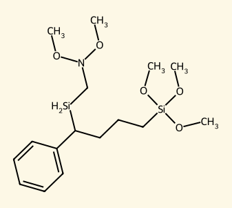 CON(C[SiH2]C(CCC[Si](OC)(OC)OC)c1ccccc1)OC